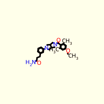 CCOc1cc(C)c(C(=O)N2CC3CN(c4cccc(CCC(N)=O)c4)CC3C2)c(C)c1